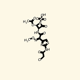 CON=C(C(=O)N[C@@H]1C(=O)N(S(=O)(=O)O)[C@H]1OC(C)=O)c1csc(NC(=O)CCl)n1